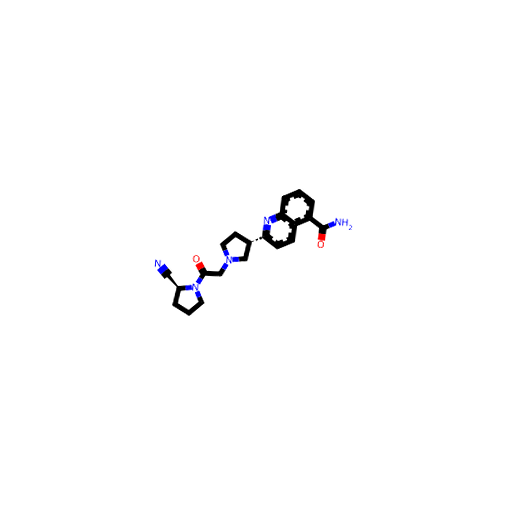 N#C[C@@H]1CCCN1C(=O)CN1CC[C@H](c2ccc3c(C(N)=O)cccc3n2)C1